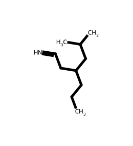 CCCC(CC=N)CC(C)C